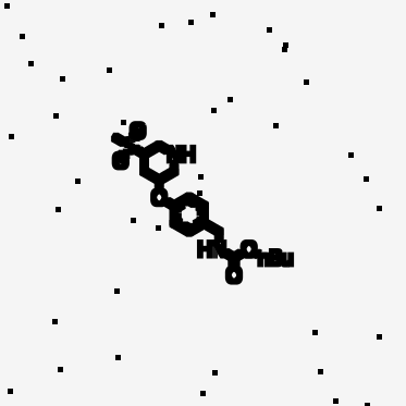 CCCCOC(=O)NCc1ccc(OC2CNCC(S(C)(=O)=O)C2)cc1